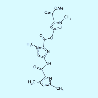 COC(=O)c1cc(OC(=O)c2nc(NC(=O)c3nc(C)cn3C)cn2C)cn1C